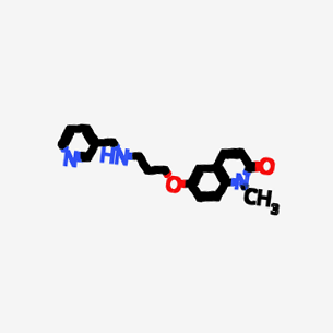 Cn1c(=O)ccc2cc(OCCCNCc3cccnc3)ccc21